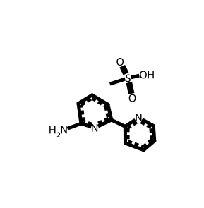 CS(=O)(=O)O.Nc1cccc(-c2ccccn2)n1